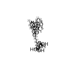 COC(c1ccccc1)(c1ccccc1)[C@H](Oc1nc(C)cc(C)n1)C(=O)OC(C)(C)OC(=O)OCCCCC(CON(O)O)ON(O)O